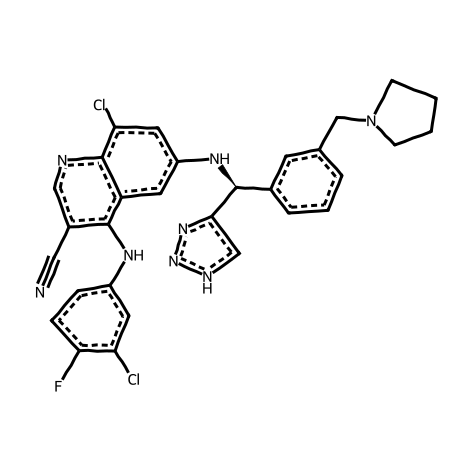 N#Cc1cnc2c(Cl)cc(N[C@@H](c3cccc(CN4CCCC4)c3)c3c[nH]nn3)cc2c1Nc1ccc(F)c(Cl)c1